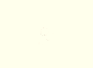 CNc1ncc(F)cc1F